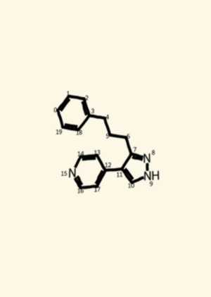 c1ccc(CCCc2n[nH]cc2-c2ccncc2)cc1